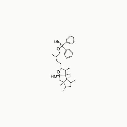 CC1CC(C)[C@]2(C)[C@H]3[C@H](C)[C@@H](CC[C@@H](C)CO[Si](c4ccccc4)(c4ccccc4)C(C)(C)C)O[C@@]3(O)C[C@@]12C